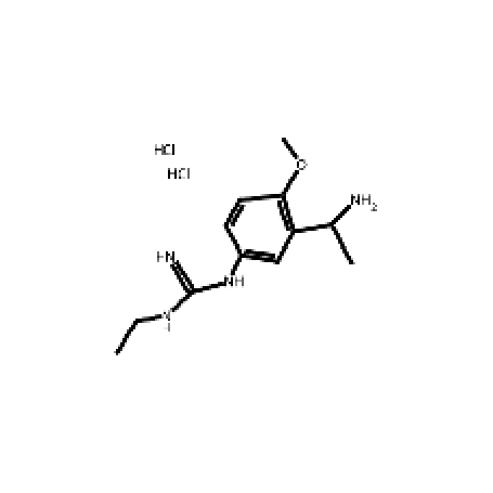 CCNC(=N)Nc1ccc(OC)c(C(C)N)c1.Cl.Cl